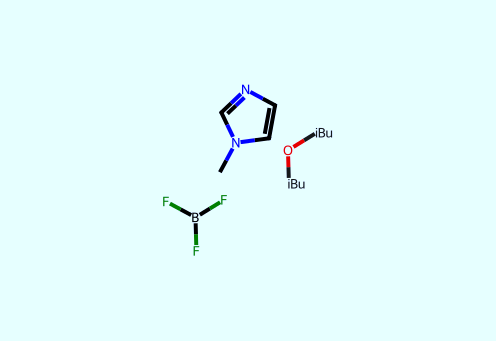 CCC(C)OC(C)CC.Cn1ccnc1.FB(F)F